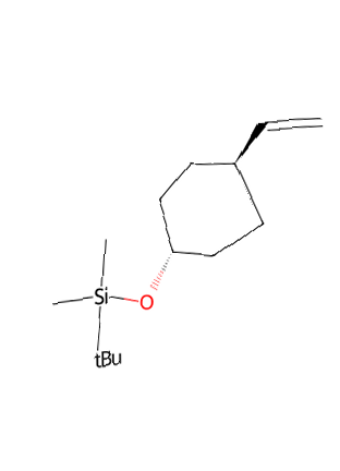 C=C[C@H]1CC[C@H](O[Si](C)(C)C(C)(C)C)CC1